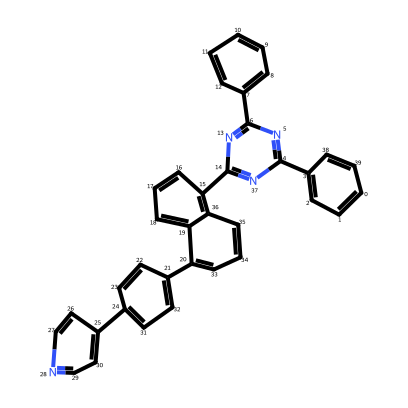 c1ccc(-c2nc(-c3ccccc3)nc(-c3cccc4c(-c5ccc(-c6ccncc6)cc5)cccc34)n2)cc1